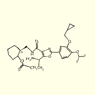 CC(=O)OC1CCCC[C@H]1CNC(=O)c1nc(-c2ccc(OC(F)F)c(OCC3CC3)c2)oc1C(C)N